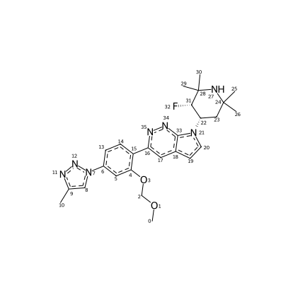 COCOc1cc(-n2cc(C)nn2)ccc1-c1cc2ccn([C@H]3CC(C)(C)NC(C)(C)[C@H]3F)c2nn1